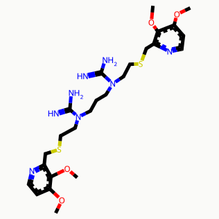 COc1ccnc(CSCCN(CCCN(CCSCc2nccc(OC)c2OC)C(=N)N)C(=N)N)c1OC